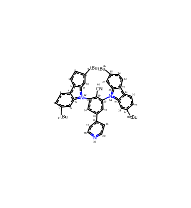 CC(C)(C)c1ccc2c3ccc(C(C)(C)C)cc3n(-c3cc(-c4ccncc4)cc(-n4c5cc(C(C)(C)C)ccc5c5ccc(C(C)(C)C)cc54)c3C#N)c2c1